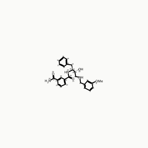 COc1cccc(CNC[C@@H](O)[C@H](Cc2ccccc2)NC(=O)c2cccc(C(N)=O)c2)c1